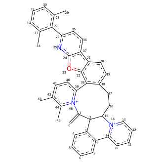 C=C1C2c3ccccc3-c3cccc[n+]3C2CCc2ccc3c(oc4nc(-c5c(C)cccc5C)ccc43)c2-c2ccc(C)c(C)[n+]21